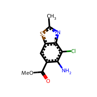 COC(=O)c1cc2sc(C)nc2c(Cl)c1N